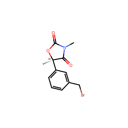 CN1C(=O)O[C@](C)(c2cccc(CBr)c2)C1=O